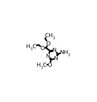 CCOC(OCC)c1nc(N)nc(OC)n1